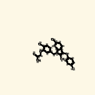 Cc1c(Oc2ccc(Cl)cc2)c2ccc(Cl)nc2n1Cc1ccc(Cl)c(OCC(=O)O)c1